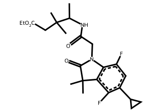 CCOC(=O)CC(C)(C)C(C)NC(=O)CN1C(=O)C(C)(C)c2c(F)c(C3CC3)cc(F)c21